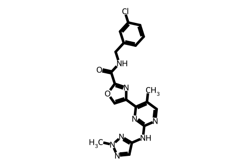 Cc1cnc(Nc2cnn(C)n2)nc1-c1coc(C(=O)NCc2cccc(Cl)c2)n1